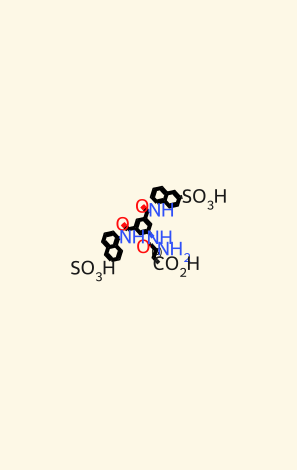 N[C@@H](CC(=O)O)C(=O)Nc1cc(C(=O)Nc2cccc3cc(S(=O)(=O)O)ccc23)cc(C(=O)Nc2cccc3cc(S(=O)(=O)O)ccc23)c1